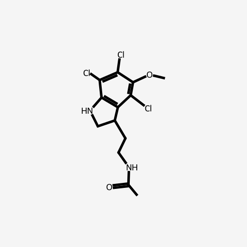 COc1c(Cl)c(Cl)c2c(c1Cl)C(CCNC(C)=O)CN2